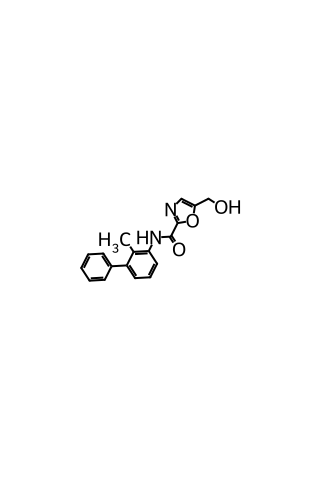 Cc1c(NC(=O)c2ncc(CO)o2)cccc1-c1ccccc1